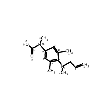 C=CCN(C)c1c(C)cc(N(C)C(=O)O)cc1C